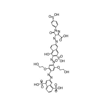 O=C(O)C1=NN(c2ccc(S(=O)O)cc2)C(=O)C1/N=N/c1ccc2c(O)c(/N=N/c3cc(OCCO)c(/N=N/c4cc(S(=O)(=O)O)c5cccc(S(=O)(=O)O)c5c4)cc3OCCO)c(S(=O)(=O)O)cc2c1